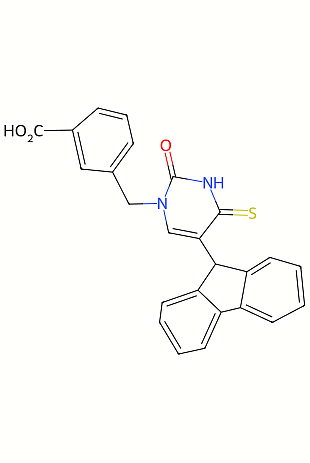 O=C(O)c1cccc(Cn2cc(C3c4ccccc4-c4ccccc43)c(=S)[nH]c2=O)c1